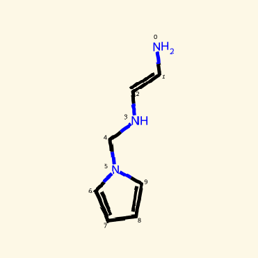 NC=CNCn1cccc1